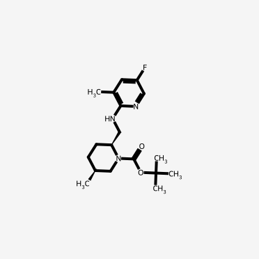 Cc1cc(F)cnc1NC[C@@H]1CC[C@H](C)CN1C(=O)OC(C)(C)C